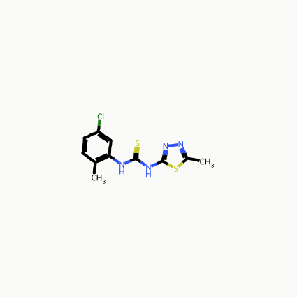 Cc1nnc(NC(=S)Nc2cc(Cl)ccc2C)s1